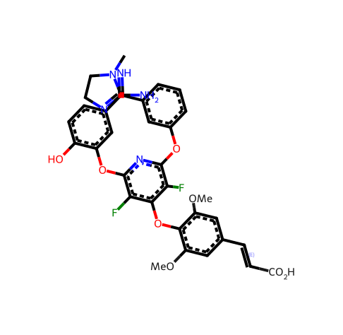 COc1cc(/C=C/C(=O)O)cc(OC)c1Oc1c(F)c(Oc2cccc(C3=NCCN3C)c2)nc(Oc2cc(C(=N)N)ccc2O)c1F